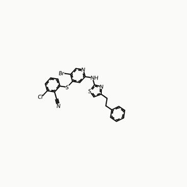 N#Cc1c(Cl)cccc1Sc1cc(Nc2nc(CCc3ccccc3)cs2)ncc1Br